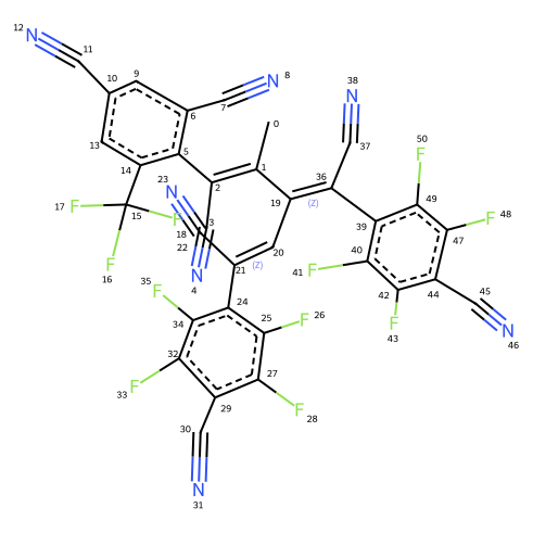 CC(=C(C#N)c1c(C#N)cc(C#N)cc1C(F)(F)F)C(/C=C(\C#N)c1c(F)c(F)c(C#N)c(F)c1F)=C(\C#N)c1c(F)c(F)c(C#N)c(F)c1F